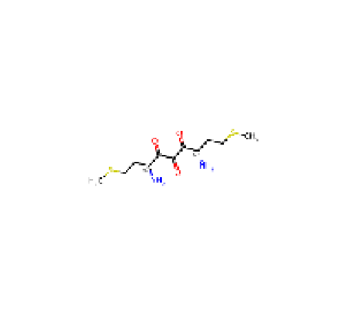 CSCC[C@H](N)C(=O)C(=O)C(=O)[C@@H](N)CCSC